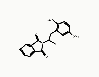 CCC(Cc1cc(OC)ccc1OC)N1C(=O)c2ccccc2C1=O